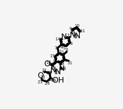 Cc1c(Cc2ccc(-n3cccn3)nc2)cc2c(=O)n([C@H]3COCC[C@@H]3O)nnc2c1C